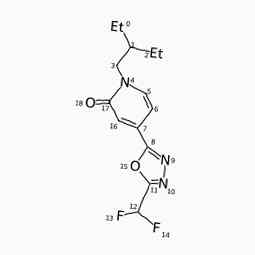 CCC(CC)Cn1ccc(-c2nnc(C(F)F)o2)cc1=O